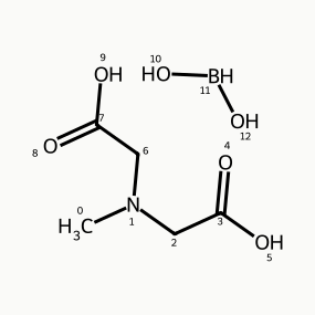 CN(CC(=O)O)CC(=O)O.OBO